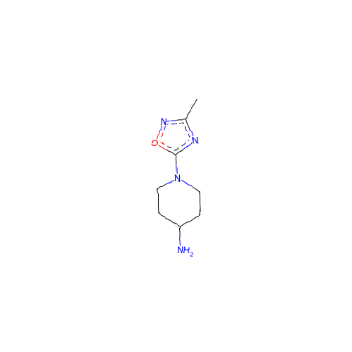 Cc1noc(N2CCC(N)CC2)n1